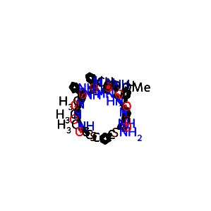 COc1ccc(C[C@@H]2NC(=O)[C@H](Cc3cnc[nH]3)NC(=O)[C@H](CC(=O)O)NC(=O)[C@H](Cc3cn(C)c4ccccc34)NC(=O)C(Cc3c[nH]c4ccccc34)N(C)C(=O)CN(C)C(=O)[C@H](C)NC(=O)CCSCc3cccc(c3)CSC[C@@H](C(N)=O)NC(=O)[C@@H]3CCCN3C2=O)cc1